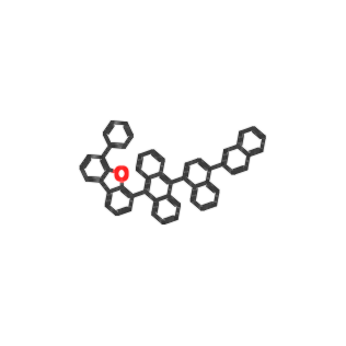 c1ccc(-c2cccc3c2oc2c(-c4c5ccccc5c(-c5ccc(-c6ccc7ccccc7c6)c6ccccc56)c5ccccc45)cccc23)cc1